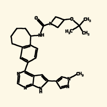 Cn1cc(-c2cc3c(-c4ccc5c(c4)CCCCC5NC(=O)N4CC(OC(C)(C)C)C4)ncnc3[nH]2)cn1